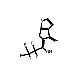 O=C1/C(=C(\O)C(F)(F)C(F)(F)F)Cc2sccc21